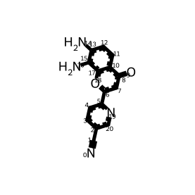 N#Cc1ccc(-c2cc(=O)c3ccc(N)c(N)c3o2)nc1